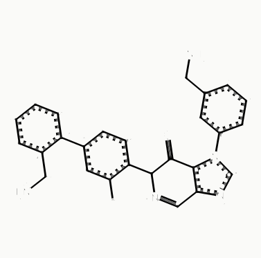 NCc1cccc(-n2cnc3c2C(=O)C(c2ccc(-c4ccccc4CN)cc2F)N=C3)c1